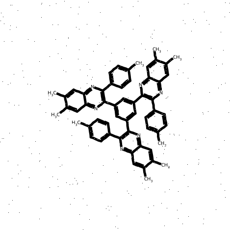 Cc1ccc(-c2nc3cc(C)c(C)cc3nc2-c2cc(-c3nc4cc(C)c(C)cc4nc3-c3ccc(C)cc3)cc(-c3nc4cc(C)c(C)cc4nc3-c3ccc(C)cc3)c2)cc1